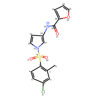 Cc1cc(Cl)ccc1S(=O)(=O)n1ccc(NC(=O)c2ccco2)c1